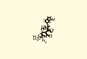 CC(C)(C)c1ccc(C(=O)NSc2ccc3cc[nH]c3c2)c(Cl)n1